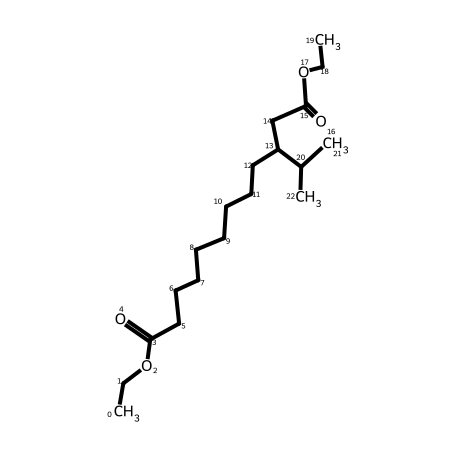 CCOC(=O)CCCCCCCCC(CC(=O)OCC)C(C)C